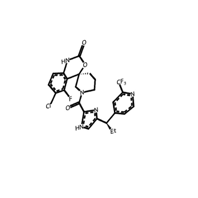 CC[C@H](c1ccnc(C(F)(F)F)c1)c1c[nH]c(C(=O)N2CCC[C@@]3(C2)OC(=O)Nc2ccc(Cl)c(F)c23)n1